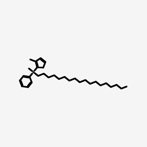 CCCCCCCCCCCCCCCCCC[Si](C)(C1=C(C)C=CC1)c1ccccc1